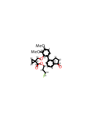 COc1ccc(-c2cccc3c2CCC3=O)c(OCC2(C(=O)OCCCF)CC2)c1OC